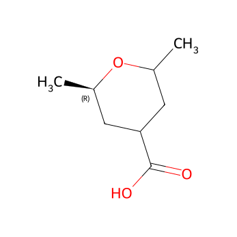 CC1CC(C(=O)O)C[C@@H](C)O1